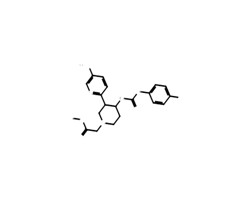 COc1ccc(C2CN(CC(=O)OC(C)(C)C)CCC2NC(=O)Nc2ccc(Cl)cc2)nc1